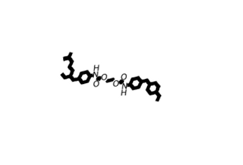 C=C(C)CCCC(CC)CC1CCC(NC(=O)OCCOC(=O)NC2CCC(CC3CCC(CC)CC3)CC2)CC1